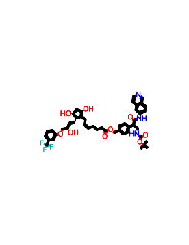 CC(C)(C)OC(=O)NCC(C(=O)Nc1ccc2cnccc2c1)c1ccc(COC(=O)CCC/C=C\CC2[C@@H](/C=C/[C@@H](O)COc3cccc(C(F)(F)F)c3)[C@H](O)C[C@@H]2O)cc1